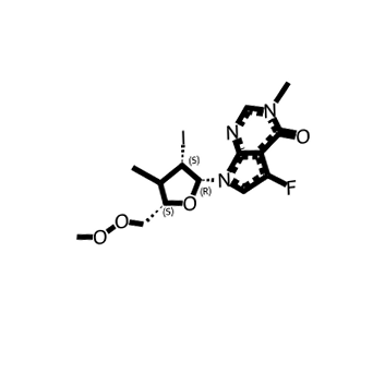 COOC[C@H]1O[C@@H](n2cc(F)c3c(=O)n(C)cnc32)[C@@H](I)C1C